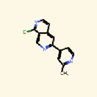 Cc1cc(-c2cc3ccnc(Cl)c3cn2)ccn1